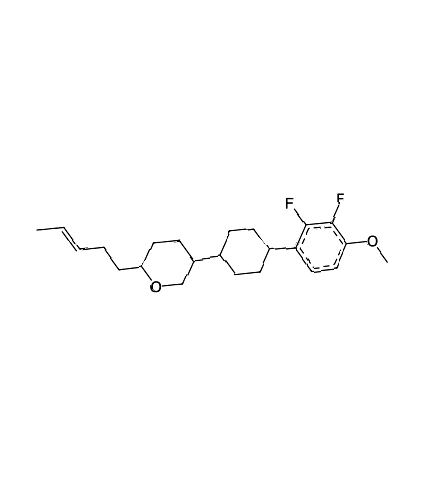 C/C=C/CCC1CCC(C2CCC(c3ccc(OC)c(F)c3F)CC2)CO1